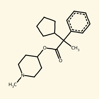 CN1CCC(OC(=O)C(C)(c2ccccc2)C2CCCC2)CC1